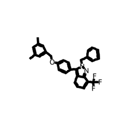 Cc1cc(C)cc(COc2ccc(-c3c4cccc(C(F)(F)F)c4nn3Cc3ccccc3)cc2)c1